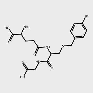 NC(CCC(=O)NC(CSCc1ccc(Br)cc1)C(=O)NCC(=O)O)C(=O)O